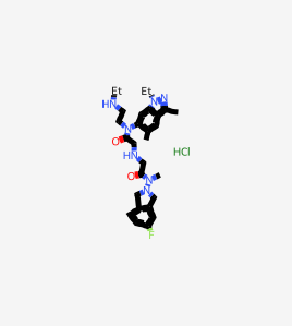 CCNCCN(C(=O)CNCC(=O)N(C)N1Cc2ccc(F)cc2C1)c1cc2c(cc1C)c(C)nn2CC.Cl